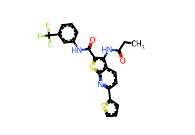 CCC(=O)Nc1c(C(=O)Nc2cccc(C(F)(F)F)c2)sc2nc(-c3cccs3)ccc12